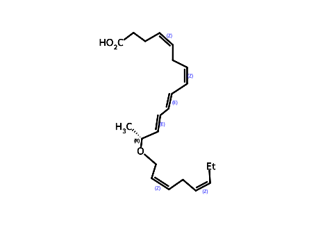 CC/C=C\C/C=C\CO[C@H](C)/C=C/C=C/C=C\C/C=C\CCC(=O)O